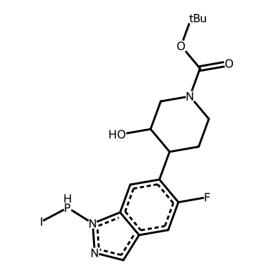 CC(C)(C)OC(=O)N1CCC(c2cc3c(cnn3PI)cc2F)C(O)C1